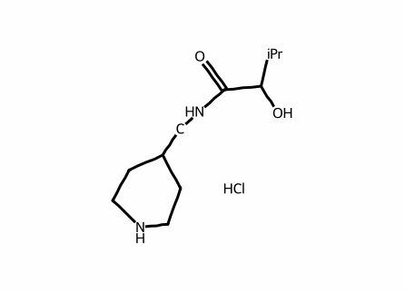 CC(C)C(O)C(=O)NCC1CCNCC1.Cl